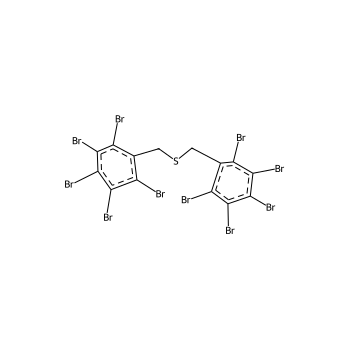 Brc1c(Br)c(Br)c(CSCc2c(Br)c(Br)c(Br)c(Br)c2Br)c(Br)c1Br